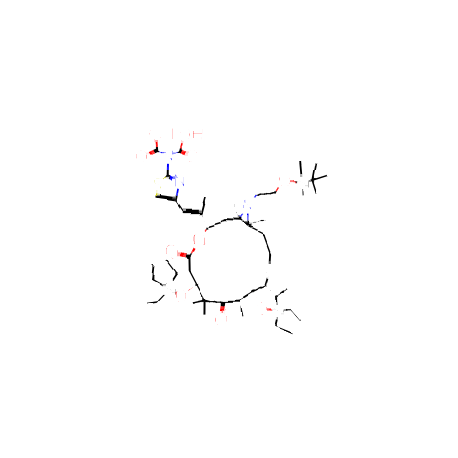 CC[Si](CC)(CC)O[C@H]1[C@@H](C)CCC[C@]2(C)[C@H](C[C@@H](/C(C)=C/c3csc(N(C(=O)O)C(=O)O)n3)OC(=O)C[C@H](O[Si](CC)(CC)CC)C(C)(C)C(=O)[C@@H]1C)N2CCO[Si](C)(C)C(C)(C)C